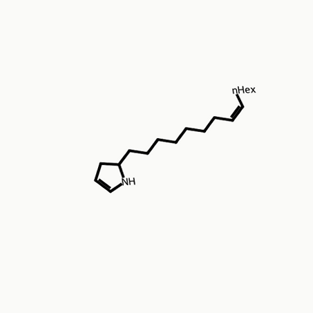 CCCCCC/C=C\CCCCCCCC1CC=CN1